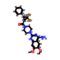 COc1cc2nc(N3CCN(C(=O)[C@H]4[C@H](c5ccccc5)C4(Br)Br)CC3)nc(N)c2cc1OC